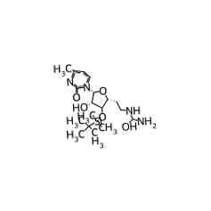 Cc1ccn([C@@H]2O[C@H](CCNC(N)O)C(O[Si](C)(C)C(C)(C)C)[C@@H]2O)c(=O)n1